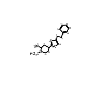 CC(C)(C)C1CC(c2nc(CCc3ccccc3)cs2)CCN1C(=O)O